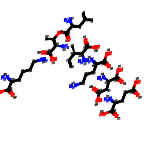 CC(C)C[C@H](N)C(=O)O[C@H](C)[C@H](N)C(=O)O.CC[C@H](C)[C@H](N)C(=O)O.NCCCC(N)C(=O)O.NCCCC[C@H](N)C(=O)O.N[C@@H](CC(=O)O)C(=O)O.N[C@@H](CCC(=O)O)C(=O)O